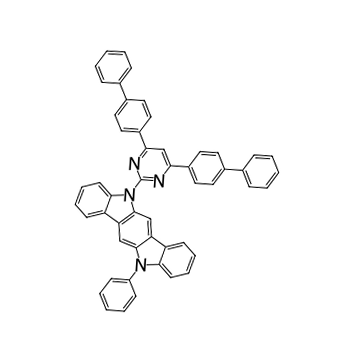 c1ccc(-c2ccc(-c3cc(-c4ccc(-c5ccccc5)cc4)nc(-n4c5ccccc5c5cc6c(cc54)c4ccccc4n6-c4ccccc4)n3)cc2)cc1